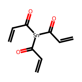 C=C[C](=O)[Sn]([C](=O)C=C)[C](=O)C=C